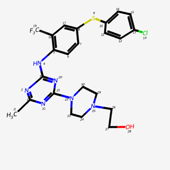 Cc1nc(Nc2ccc(Sc3ccc(Cl)cc3)cc2C(F)(F)F)nc(N2CCN(CCO)CC2)n1